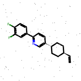 C=C[C@H]1CC[C@H](c2ccc(-c3ccc(F)c(F)c3)nc2)CC1